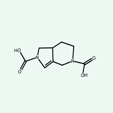 O=C(O)N1C=C2CN(C(=O)O)CCC2C1